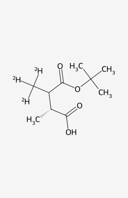 [2H]C([2H])([2H])C(C(=O)OC(C)(C)C)[C@@H](C)C(=O)O